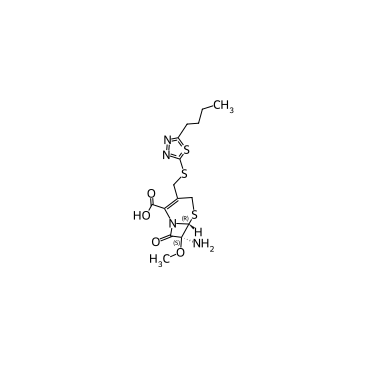 CCCCc1nnc(SCC2=C(C(=O)O)N3C(=O)[C@](N)(OC)[C@H]3SC2)s1